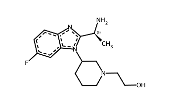 C[C@H](N)c1nc2ccc(F)cc2n1C1CCCN(CCO)C1